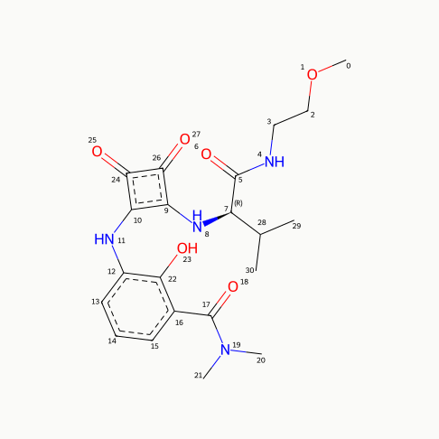 COCCNC(=O)[C@H](Nc1c(Nc2cccc(C(=O)N(C)C)c2O)c(=O)c1=O)C(C)C